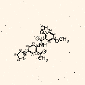 COc1ccc(OC)c(C(=O)Nc2ccc(N3CCCC3)cc2C(C)=O)c1